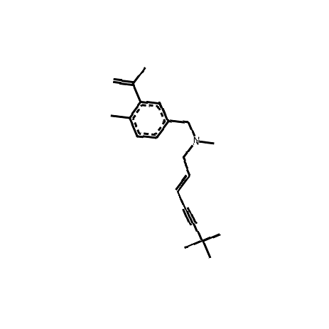 C=C(C)c1cc(CN(C)CC=CC#CC(C)(C)C)ccc1C